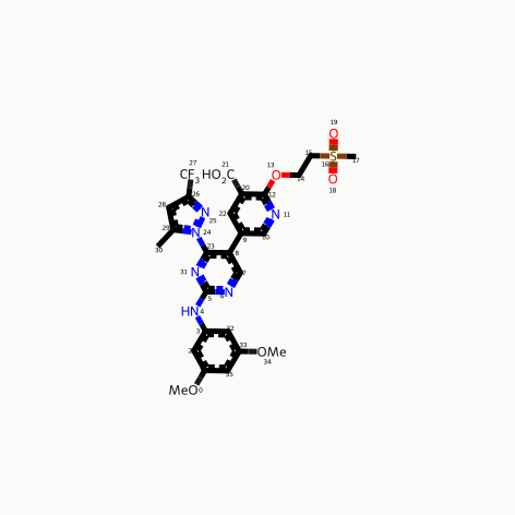 COc1cc(Nc2ncc(-c3cnc(OCCS(C)(=O)=O)c(C(=O)O)c3)c(-n3nc(C(F)(F)F)cc3C)n2)cc(OC)c1